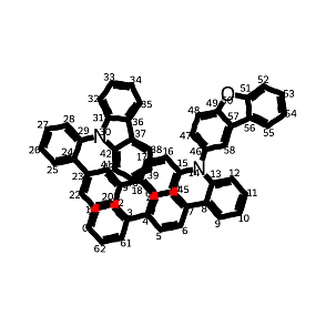 c1ccc(-c2ccc(-c3ccccc3N(c3ccc(-c4cccc(-c5ccccc5-n5c6ccccc6c6ccccc65)c4)cc3)c3ccc4oc5ccccc5c4c3)cc2)cc1